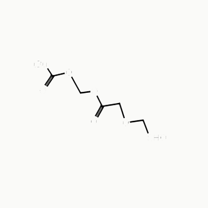 CC(C)(C)C(=O)OCOC(=O)COC[C]=O